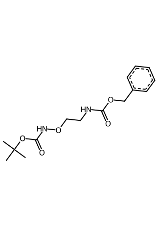 CC(C)(C)OC(=O)NOCCNC(=O)OCc1ccccc1